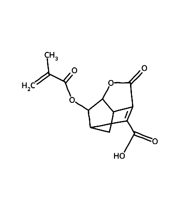 C=C(C)C(=O)OC1C2CC3C(=C2C(=O)O)C(=O)OC31